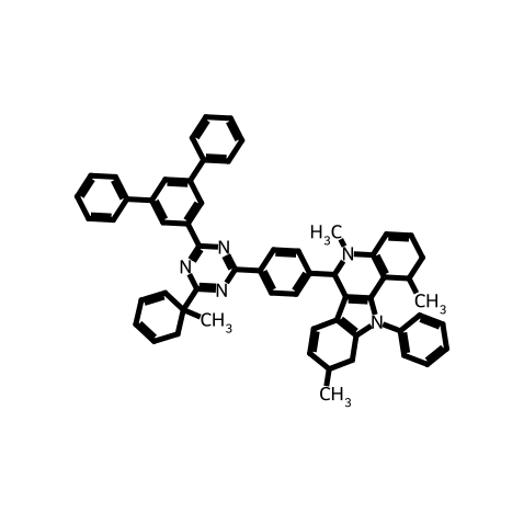 CC1C=Cc2c3c(n(-c4ccccc4)c2C1)C1=C(C=CCC1C)N(C)C3c1ccc(-c2nc(-c3cc(-c4ccccc4)cc(-c4ccccc4)c3)nc(C3(C)C=CC=CC3)n2)cc1